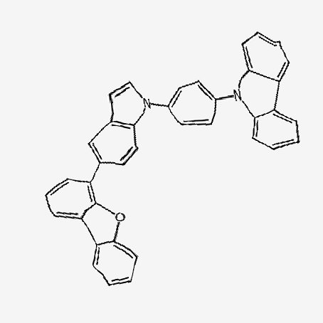 c1ccc2c(c1)oc1c(-c3ccc4c(ccn4-c4ccc(-n5c6ccccc6c6ccccc65)cc4)c3)cccc12